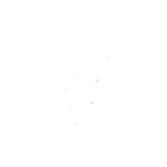 CCc1cnc2c(=O)[nH]c3c(NCCN(CC)CC)ncnc3n12